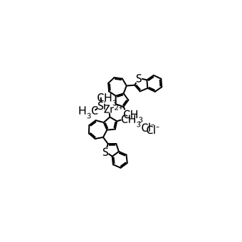 CC1=CC2=C(C=CC=CC2c2cc3ccccc3s2)[CH]1[Zr+2]([CH]1C(C)=CC2=C1C=CC=CC2c1cc2ccccc2s1)=[Si](C)C.[Cl-].[Cl-]